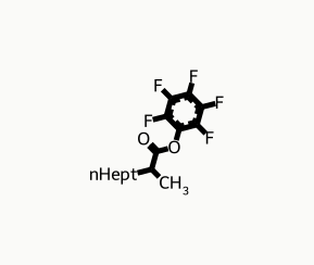 CCCCCCCC(C)C(=O)Oc1c(F)c(F)c(F)c(F)c1F